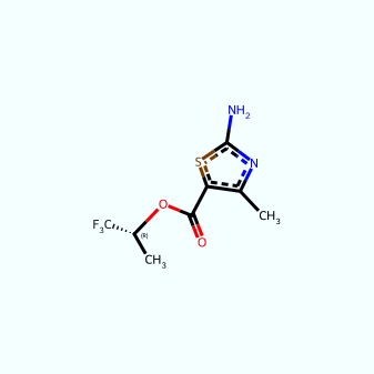 Cc1nc(N)sc1C(=O)O[C@H](C)C(F)(F)F